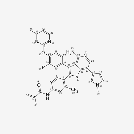 C=C(C)C(=O)Nc1ccc(-c2sc3c(-c4cnn(C)c4)cnc(N)c3c2-c2ccc(Oc3nccc(C)n3)c(F)c2)c(C(F)(F)F)c1